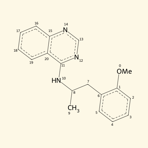 COc1ccccc1CC(C)Nc1ncnc2ccccc12